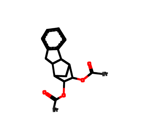 CC(C)C(=O)OC1C2CC(C1OC(=O)C(C)C)C1c3ccccc3CC21